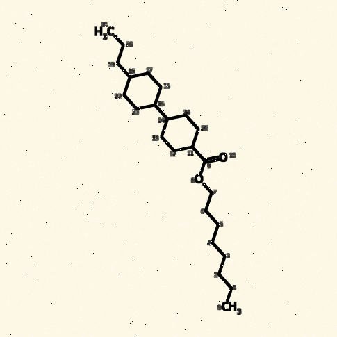 CCCCCCCCOC(=O)C1CCC(C2CCC(CCC)CC2)CC1